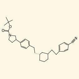 CC(C)(C)OC(=O)N1CCC(c2ccc(CC[C@H]3CCCC(CCc4ccc(C#N)cc4)C3)cc2)C1